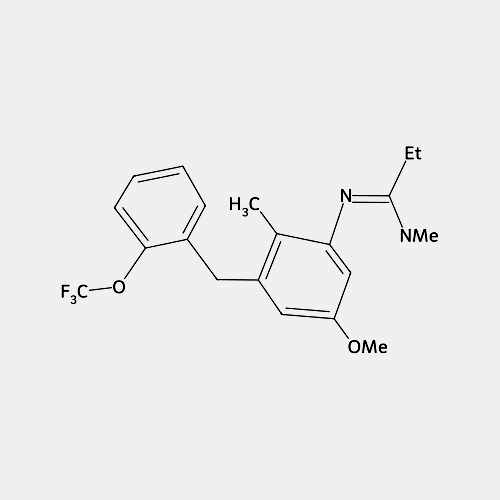 CCC(=Nc1cc(OC)cc(Cc2ccccc2OC(F)(F)F)c1C)NC